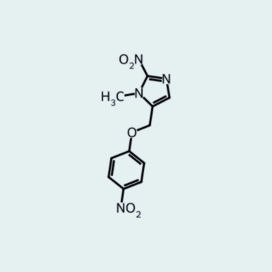 Cn1c(COc2ccc([N+](=O)[O-])cc2)cnc1[N+](=O)[O-]